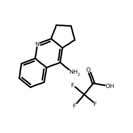 Nc1c2c(nc3ccccc13)CCC2.O=C(O)C(F)(F)F